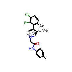 COC(=C/N(C)CC(=O)Nc1ccc(C)cc1)/C(=C\C=O)c1c(C(C)=O)ccc(Cl)c1F